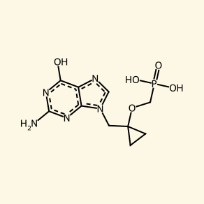 Nc1nc(O)c2ncn(CC3(OCP(=O)(O)O)CC3)c2n1